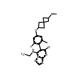 CNC1CC2(C1)CC(Oc1cc(F)c(-c3c(Cl)nc4ncnn4c3NCC(F)(F)F)c(F)c1)C2